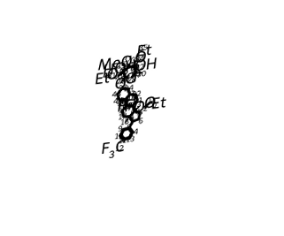 CCOCO[C@@]12CCC(c3ccc(C(F)(F)F)cc3)[C@@]1(C)CC[C@@H]1[C@H]2CCC2CC(O[C@@H]3O[C@H](C)[C@](O)(COCC)[C@H](OC)[C@]3(O)COCC)CC[C@@]21C